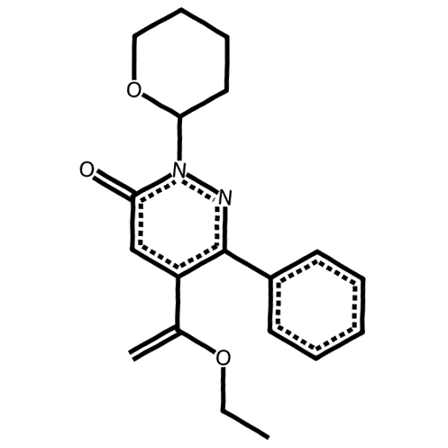 C=C(OCC)c1cc(=O)n(C2CCCCO2)nc1-c1ccccc1